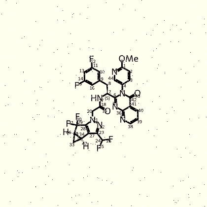 COc1ccc(-n2c([C@H](Cc3cc(F)cc(F)c3)NC(=O)Cn3nc(C(F)F)c4c3C(F)(F)[C@@H]3C[C@H]43)nc3ncccc3c2=O)cn1